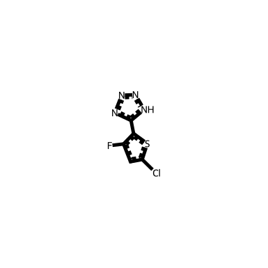 Fc1cc(Cl)sc1-c1nnn[nH]1